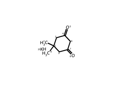 CC1(C)CC(=O)CC(=O)C1.[KH]